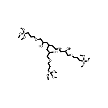 CO[Si](CCCOCC(O)CNCCC(CC(O)COCCC[Si](OC)(OC)OC)CC(O)COCCC[Si](OC)(OC)OC)(OC)OC